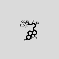 CCOC(=O)C(C[C@@H](C)[C@H](CC)CCC1CCCC2C1CCC1CC(=O)CCC12C)C(=O)OCC